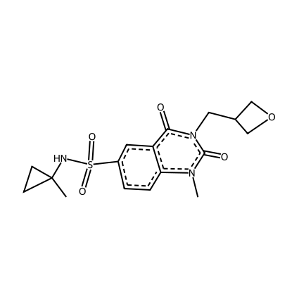 Cn1c(=O)n(CC2COC2)c(=O)c2cc(S(=O)(=O)NC3(C)CC3)ccc21